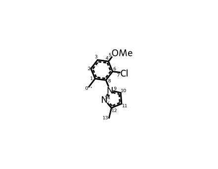 [CH2]c1ccc(OC)c(Cl)c1-n1ccc(C)n1